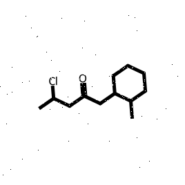 CC(Cl)CC(=O)CC1CCCCC1C